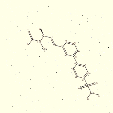 CC(=O)N(O)[C@@H](C)/C=C/c1cccc(-c2ccc(S(=O)(=O)N(C)C)cc2)c1